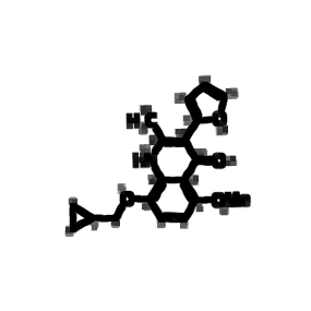 COc1ccc(OCC2CC2)c2[nH]c(C)c(-c3ccco3)c(=O)c12